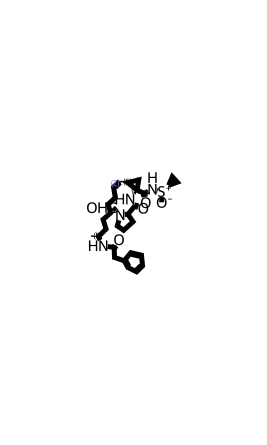 C[C@H](CCCCC/C=C\[C@@H]1C[C@]1(NC(=O)C1CCCN1C=O)C(=O)N[S+]([O-])C1CC1)NC(=O)Cc1ccccc1